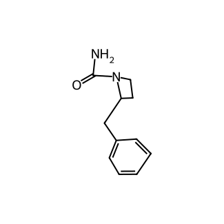 NC(=O)N1CCC1Cc1ccccc1